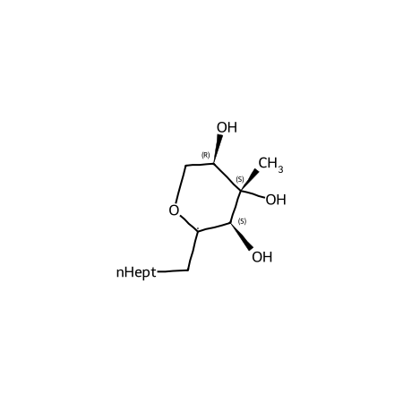 CCCCCCCC[C]1OC[C@@H](O)[C@](C)(O)[C@H]1O